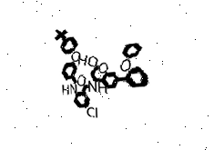 CC(C)(C)c1ccc(Oc2cccc(CNc3ccc(Cl)cc3C(=O)NC(CC(=O)O)c3ccc(-c4ccccc4Oc4ccccc4)cc3)c2)cc1